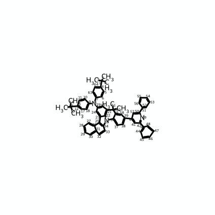 CC(C)(C)c1ccc(N(c2ccc(C(C)(C)C)cc2)c2cc3c4c(c2)c2c5ccccc5ccc2n4-c2ccc(-c4cc(-c5ccccc5)nc(-c5ccccc5)c4)cc2C3(C)C)cc1